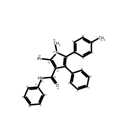 Cc1ccc(-c2c(-c3ccccc3)c(C(=O)Nc3ccccc3)c(C(C)C)n2C)cc1